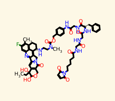 CC[C@]1(O)c2cc3n(c(=O)c2COC1O)Cc1c-3nc2cc(F)c(C)c3c2c1[C@@H](NCCN(C)C(=O)OCc1ccc(NC(=O)CNC(=O)[C@H](Cc2ccccc2)NC(=O)CNC(=O)CNC(=O)CCCCCN2C(=O)C=CC2=O)cc1)CC3